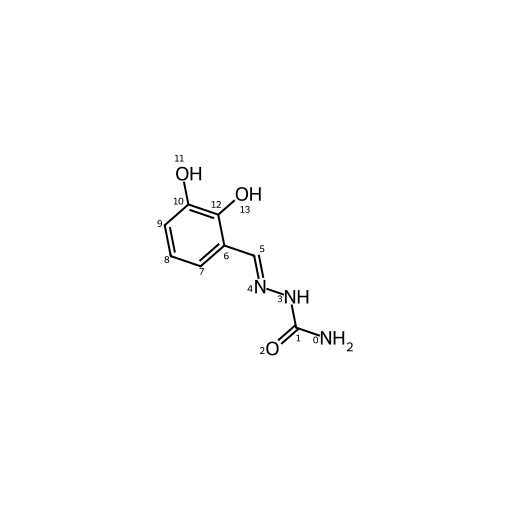 NC(=O)NN=Cc1cccc(O)c1O